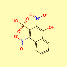 O=[N+]([O-])c1c(S(=O)(=O)O)c([N+](=O)[O-])c2ccccc2c1O